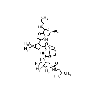 C#CCCC(NC(=O)[C@@H]1C2C(CN1C(=O)[C@@H](NC(=O)N[C@H](COC(=O)NCC(C)C)C(C)(C)C)C1(C)CCCCC1)C2(C)C)C(=O)C(=O)NCCC